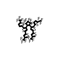 FC(F)(F)c1csc(-c2cc(C3=C(c4cc(-c5cc(C(F)(F)F)cs5)sc4-c4ccc(C(F)(F)F)s4)C(F)(F)C(F)(F)C3(F)F)c(-c3ccc(C(F)(F)F)s3)s2)c1